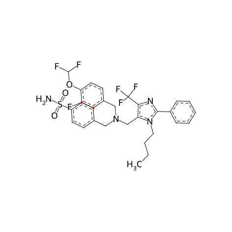 CCCCn1c(-c2ccccc2)nc(C(F)(F)F)c1CN(Cc1ccc(S(N)(=O)=O)cc1)Cc1ccc(OC(F)F)c(F)c1